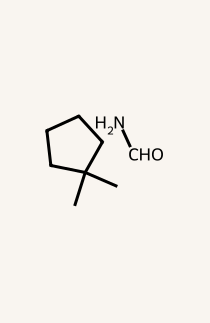 CC1(C)CCCC1.NC=O